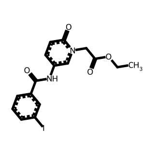 CCOC(=O)Cn1cc(NC(=O)c2cccc(I)c2)ccc1=O